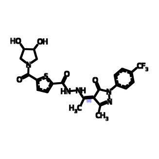 CC1=NN(c2ccc(C(F)(F)F)cc2)C(=O)/C1=C(/C)NNC(=O)c1ccc(C(=O)N2CC(O)C(O)C2)s1